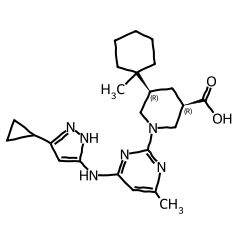 Cc1cc(Nc2cc(C3CC3)n[nH]2)nc(N2C[C@H](C(=O)O)C[C@H](C3(C)CCCCC3)C2)n1